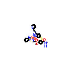 CNC(=O)c1ccccc1Sc1ccc2c(/C=C/c3ccccn3)nn(P(=O)(N[C@@H](C)C(=O)OC)Oc3nc4ccccc4s3)c2c1